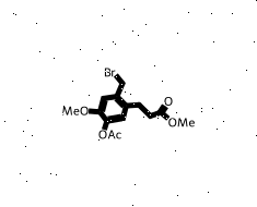 COC(=O)CCc1cc(OC(C)=O)c(OC)cc1CBr